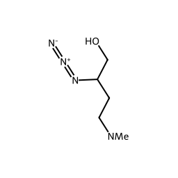 CNCCC(CO)N=[N+]=[N-]